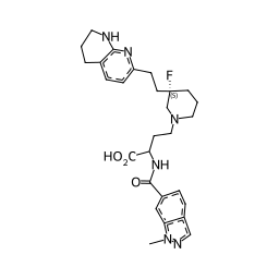 Cn1ncc2ccc(C(=O)NC(CCN3CCC[C@](F)(CCc4ccc5c(n4)NCCC5)C3)C(=O)O)cc21